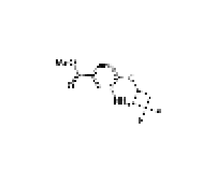 COC(=O)c1ccc(OC2CC(F)(F)C2)c(N)c1